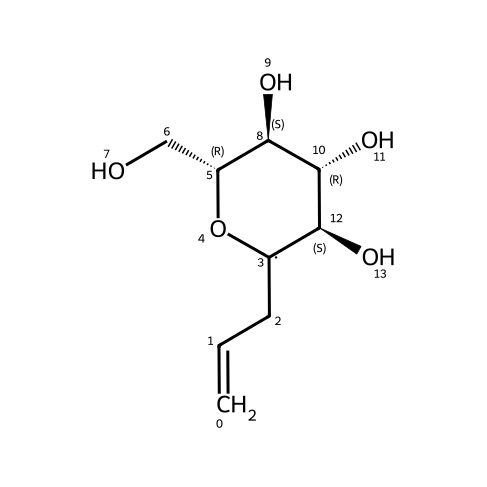 C=CC[C]1O[C@H](CO)[C@@H](O)[C@H](O)[C@H]1O